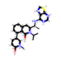 CC(C)n1c([C@H](C)Nc2ncnc3scnc23)cc2cccc(-c3ccc(=O)n(C)c3)c2c1=O